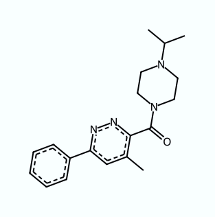 Cc1cc(-c2ccccc2)nnc1C(=O)N1CCN(C(C)C)CC1